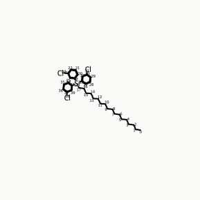 CCCCCCCCCCCCCCCCCC[Si](c1cccc(Cl)c1)(c1cccc(Cl)c1)c1cccc(Cl)c1